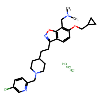 CN(C)Cc1c(OCC2CC2)ccc2c(CCC3CCN(Cc4ccc(Cl)cn4)CC3)noc12.Cl.Cl.Cl